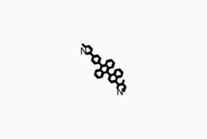 Cc1ccc(-c2ccc(-c3c4ccccc4c(-c4ccc(-c5cnccc5C)c5ccccc45)c4ccccc34)cc2)cn1